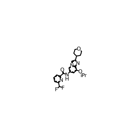 CC(C)Oc1cc(NC(=O)c2cccc(C(F)F)n2)cn2cc(C3CCOCC3)nc12